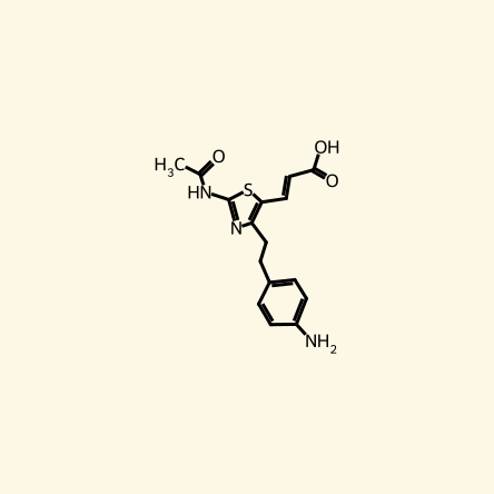 CC(=O)Nc1nc(CCc2ccc(N)cc2)c(C=CC(=O)O)s1